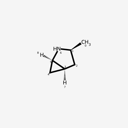 C[C@H]1C[C@H]2C[C@H]2N1